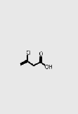 C=C(Cl)CC(=O)O